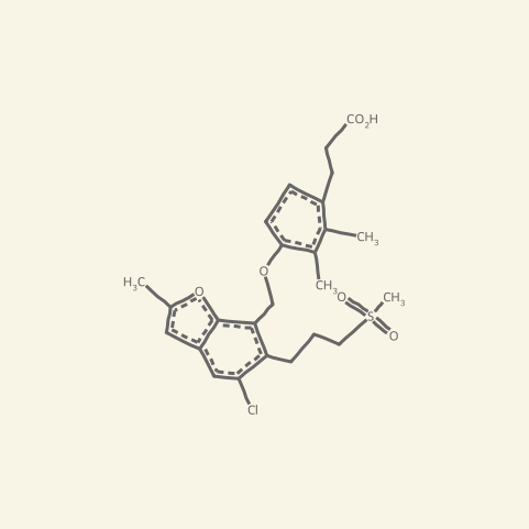 Cc1cc2cc(Cl)c(CCCS(C)(=O)=O)c(COc3ccc(CCC(=O)O)c(C)c3C)c2o1